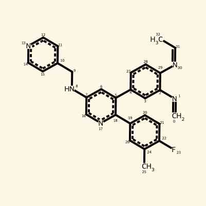 C=Nc1cc(-c2cc(NCc3ccncc3)cnc2-c2ccc(F)c(C)c2)ccc1/N=C\C